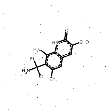 CCC(N)(CC)c1c(C)cc2cc(C=O)c(=O)[nH]c2c1C